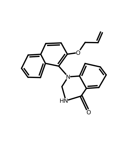 C=CCOc1ccc2ccccc2c1N1CNC(=O)c2ccccc21